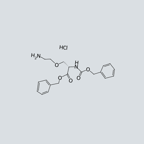 Cl.NCCOC[C@H](NC(=O)OCc1ccccc1)C(=O)OCc1ccccc1